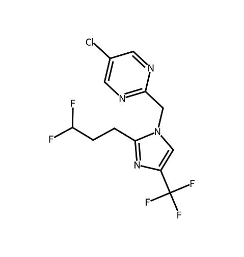 FC(F)CCc1nc(C(F)(F)F)cn1Cc1ncc(Cl)cn1